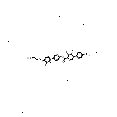 C=CCCOc1ccc(-c2ccc(OC(=O)c3ccc(-c4ccc(OCC)cc4)c(F)c3F)cc2)c(F)c1F